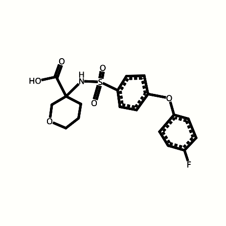 O=C(O)C1(NS(=O)(=O)c2ccc(Oc3ccc(F)cc3)cc2)CCCOC1